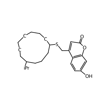 CC(C)C1CCCCCCCC(SCc2cc(=O)oc3cc(O)ccc23)CCC1